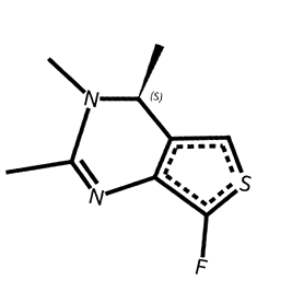 CC1=Nc2c(csc2F)[C@H](C)N1C